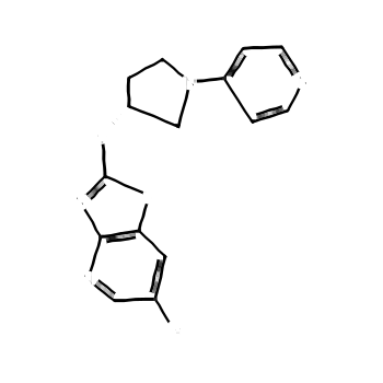 Brc1cnc2nc(O[C@@H]3CCN(c4ccncc4)C3)sc2c1